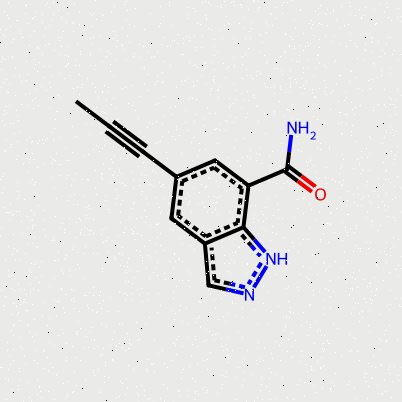 CC#Cc1cc(C(N)=O)c2[nH]ncc2c1